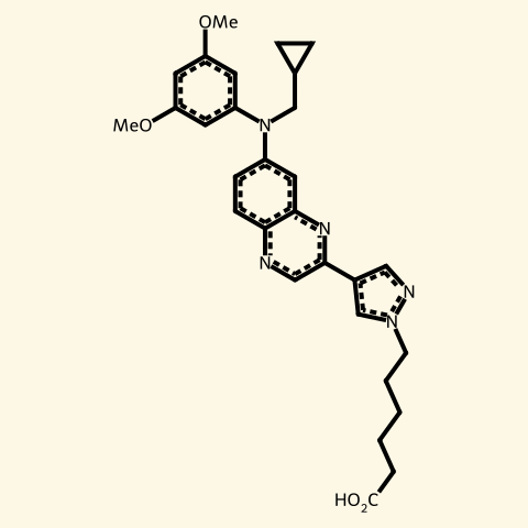 COc1cc(OC)cc(N(CC2CC2)c2ccc3ncc(-c4cnn(CCCCCC(=O)O)c4)nc3c2)c1